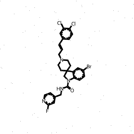 O=C(NCc1ccnc(F)c1)N1CC2(CCN(C/C=C/c3ccc(Cl)c(Cl)c3)CC2)c2cc(Br)ccc21